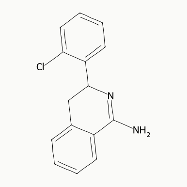 NC1=NC(c2ccccc2Cl)Cc2ccccc21